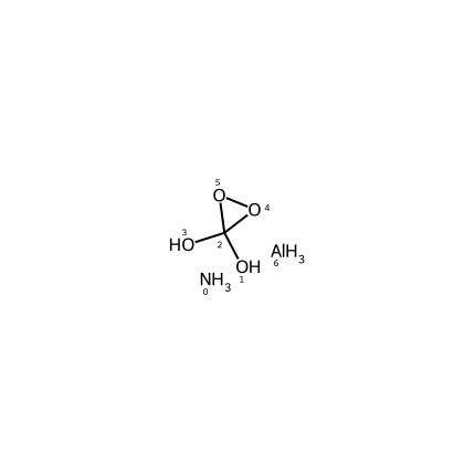 N.OC1(O)OO1.[AlH3]